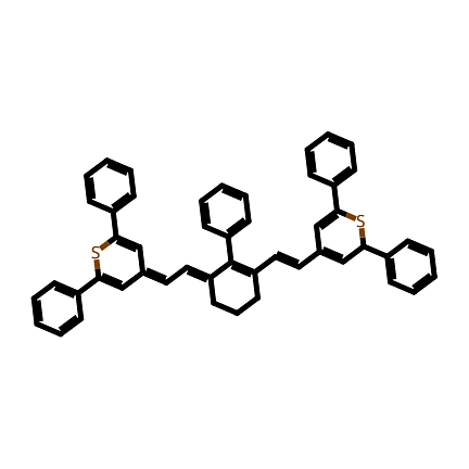 C(=CC1=C(c2ccccc2)C(=CC=C2C=C(c3ccccc3)SC(c3ccccc3)=C2)CCC1)C1=CC(c2ccccc2)SC(c2ccccc2)=C1